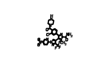 Cn1c(C(N)=O)nc(-c2ccc(C(=O)N3CCNCC3)c(Cl)c2)c1-c1cn(-c2ccc([N+](=O)[O-])cn2)nc1C(F)(F)F